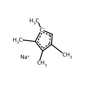 Cc1c[c-](C)c(C)c1C.[Na+]